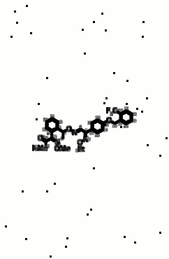 CCON=C(C=NOC(C)c1ccccc1C(=NOC)C(=O)NC)c1ccc(OCc2ccccc2C(F)(F)F)cc1